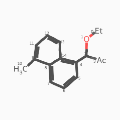 CCOC(C(C)=O)c1cccc2c(C)cccc12